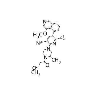 COCCC(=O)N1CCN(c2nc(C3CC3)c(-c3cccc4cncc(OC)c34)cc2C#N)CC1C